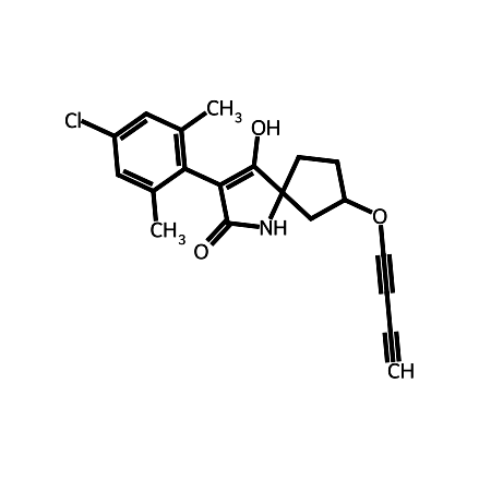 C#CC#COC1CCC2(C1)NC(=O)C(c1c(C)cc(Cl)cc1C)=C2O